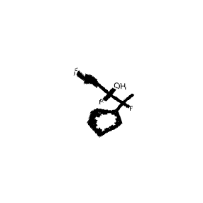 CC(F)(c1ccccc1)C(O)(F)C#CF